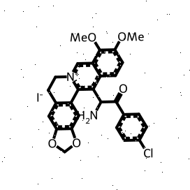 COc1ccc2c(C(N)C(=O)c3ccc(Cl)cc3)c3[n+](cc2c1OC)CCc1cc2c(cc1-3)OCO2.[I-]